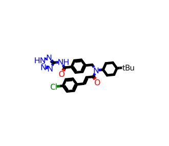 CC(C)(C)C1CCC(N(Cc2ccc(C(=O)Nc3nn[nH]n3)cc2)C(=O)C=Cc2ccc(Cl)cc2)CC1